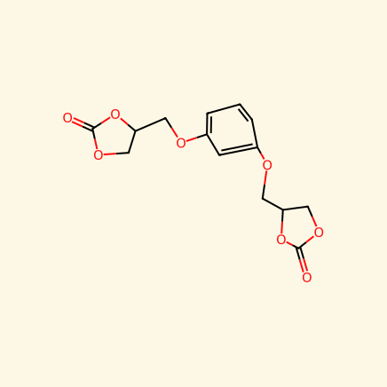 O=C1OCC(COc2cccc(OCC3COC(=O)O3)c2)O1